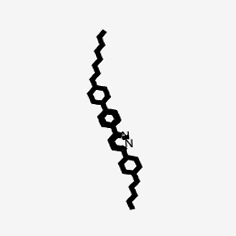 CCCCCCCCC1CCC(c2ccc(-c3ccc(C4CCC(CCCCC)CC4)nn3)cc2)CC1